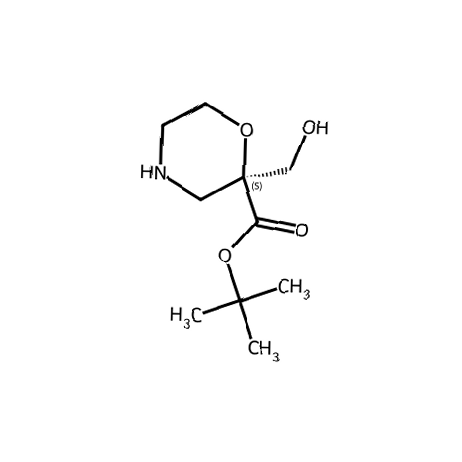 CC(C)(C)OC(=O)[C@@]1(CO)CNCCO1